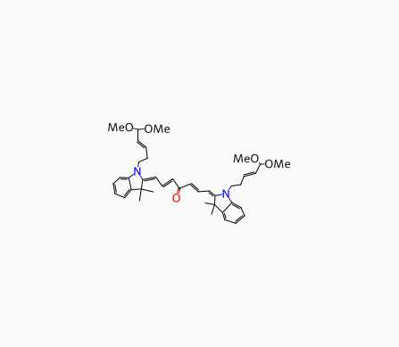 COC(/C=C/CCN1/C(=C/C=C/C(=O)/C=C/C=C2/N(CC/C=C/C(OC)OC)c3ccccc3C2(C)C)C(C)(C)c2ccccc21)OC